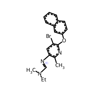 CCN(C)/C=N/c1cc(Br)c(Oc2ccc3ccccc3c2)nc1C